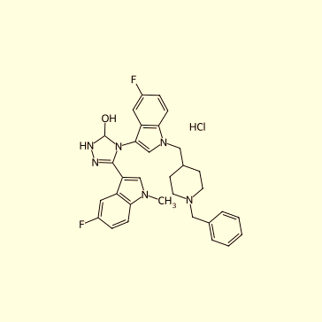 Cl.Cn1cc(C2=NNC(O)N2c2cn(CC3CCN(Cc4ccccc4)CC3)c3ccc(F)cc23)c2cc(F)ccc21